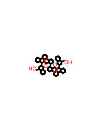 OCc1cc(-c2cc3ccccc3c3ccccc23)c(Oc2ccc3ccccc3c2-c2c(Oc3c(-c4cc5ccccc5c5ccccc45)cc(CO)c4ccccc34)ccc3ccccc23)c2ccccc12